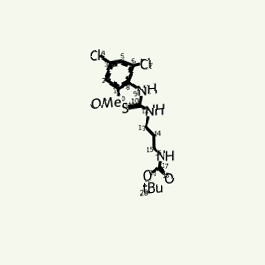 COc1cc(Cl)cc(Cl)c1NC(=S)NCCCNC(=O)OC(C)(C)C